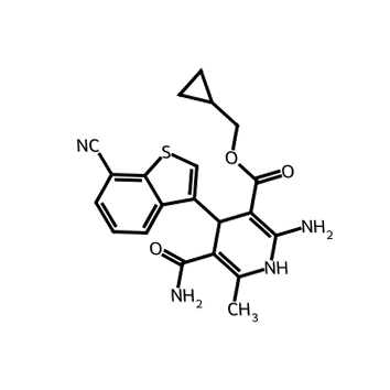 CC1=C(C(N)=O)C(c2csc3c(C#N)cccc23)C(C(=O)OCC2CC2)=C(N)N1